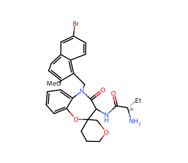 CC[C@H](N)C(=O)NC1C(=O)N(Cc2c(OC)ccc3cc(Br)ccc23)c2ccccc2OC12CCCOC2